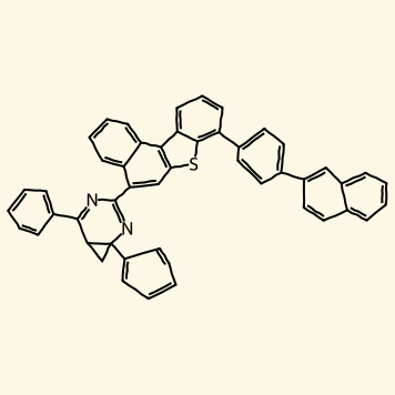 c1ccc(C2=NC(c3cc4sc5c(-c6ccc(-c7ccc8ccccc8c7)cc6)cccc5c4c4ccccc34)=NC3(c4ccccc4)CC23)cc1